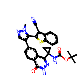 Cn1ncc(-c2ccc3c(=O)[nH]nc(C4(NC(=O)OC(C)(C)C)CC4)c3c2)c1-c1sc2ccccc2c1C#N